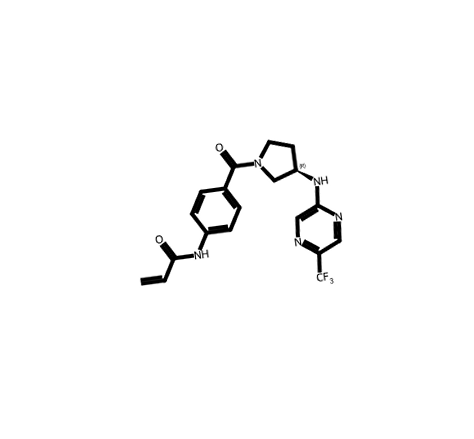 C=CC(=O)Nc1ccc(C(=O)N2CC[C@@H](Nc3cnc(C(F)(F)F)cn3)C2)cc1